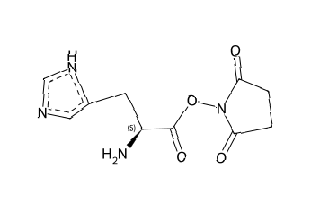 N[C@@H](Cc1cnc[nH]1)C(=O)ON1C(=O)CCC1=O